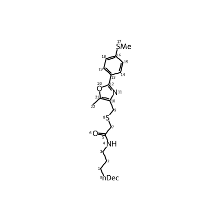 CCCCCCCCCCCCCNC(=O)CSCc1nc(-c2ccc(SC)cc2)oc1C